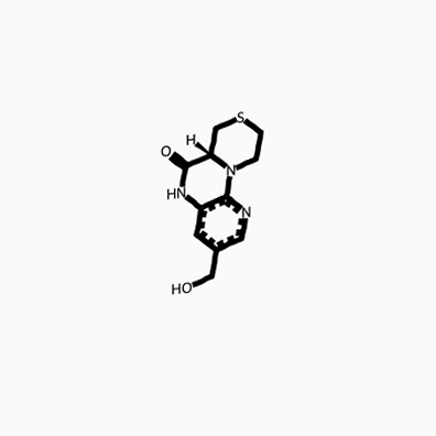 O=C1Nc2cc(CO)cnc2N2CCSC[C@@H]12